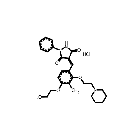 CCCOc1ccc(/C=C2/C(=O)NN(c3ccccc3)C2=O)c(OCCN2CCCCC2)c1C.Cl